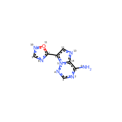 Nc1ncnn2c(-c3ncno3)cnc12